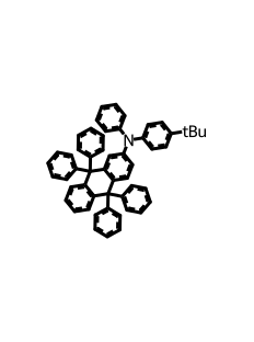 CC(C)(C)c1ccc(N(c2ccccc2)c2ccc3c(c2)C(c2ccccc2)(c2ccccc2)c2ccccc2C3(c2ccccc2)c2ccccc2)cc1